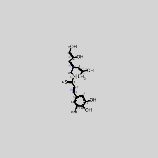 C\C(O)=C/C(=C\C(O)=C\O)CNC(=S)/C=C/c1cc(O)c(O)c(Br)c1